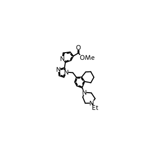 CCN1CCN(c2ccc(Cn3ccnc3-c3cc(C(=O)OC)ccn3)c3c2CCCC3)CC1